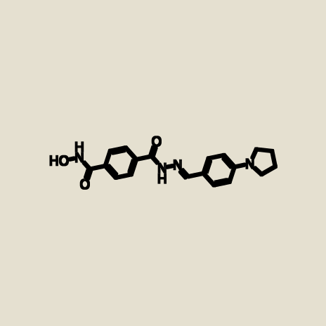 O=C(NO)c1ccc(C(=O)N/N=C/c2ccc(N3CCCC3)cc2)cc1